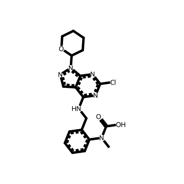 CN(C(=O)O)c1ccccc1CNc1nc(Cl)nc2c1cnn2C1CCCCO1